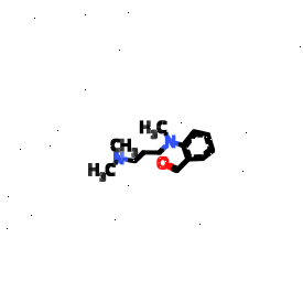 CN(C)CCCN(C)c1ccccc1C=O